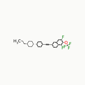 CCC[C@H]1CC[C@H](c2ccc(C#Cc3ccc4c(F)c(OC(F)(F)F)c(F)cc4c3)cc2)CC1